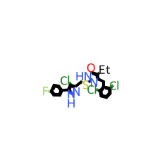 CCc1c(Cc2c(Cl)cccc2Cl)nc(SCc2n[nH]c(-c3ccc(F)cc3)c2Cl)[nH]c1=O